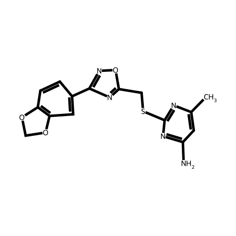 Cc1cc(N)nc(SCc2nc(-c3ccc4c(c3)OCO4)no2)n1